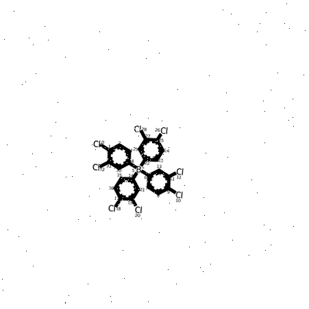 Clc1ccc([B-](c2ccc(Cl)c(Cl)c2)(c2ccc(Cl)c(Cl)c2)c2ccc(Cl)c(Cl)c2)cc1Cl